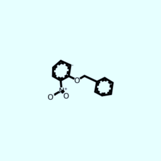 O=[N+]([O-])c1ccc[c]c1OCc1ccccc1